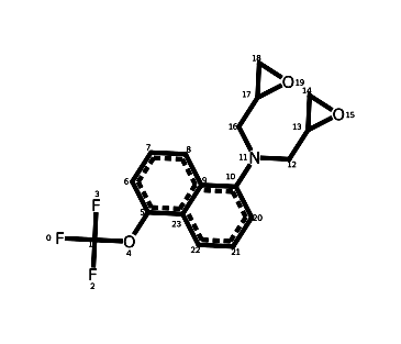 FC(F)(F)Oc1cccc2c(N(CC3CO3)CC3CO3)cccc12